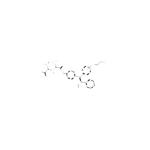 CCC(=C(c1ccc(OCCNC)cc1)c1ccc(OC(=O)C(B(O)O)N(C)C(B(O)O)C(=O)O)cc1)c1ccccc1